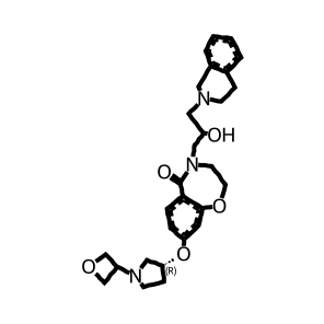 O=C1c2ccc(O[C@@H]3CCN(C4COC4)C3)cc2OCCN1CC(O)CN1CCc2ccccc2C1